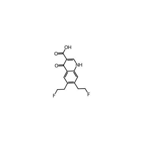 O=C(O)c1c[nH]c2cc(CCF)c(CCF)cc2c1=O